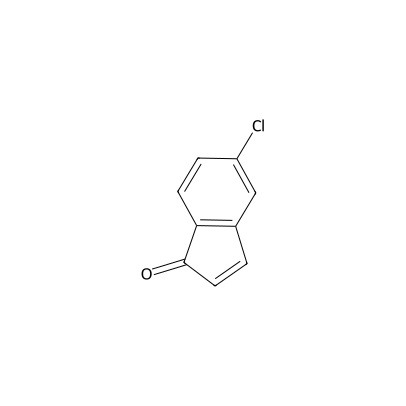 O=C1C=Cc2cc(Cl)ccc21